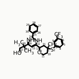 CC1(Sc2cccc(C(F)(F)F)c2)CCOC(/C(=C/C(=N)C(C)(C)CO)NCc2ccccc2)C1